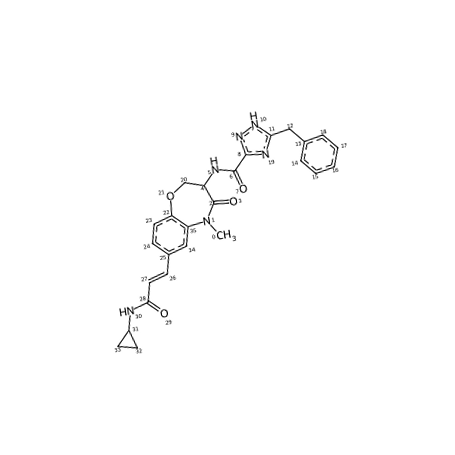 CN1C(=O)C(NC(=O)c2n[nH]c(Cc3ccccc3)n2)COc2ccc(C=CC(=O)NC3CC3)cc21